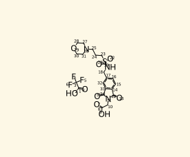 O=C(O)C(F)(F)F.O=C(O)CN1C(=O)c2ccc(CNS(=O)(=O)CCCN3CCOCC3)cc2C1=O